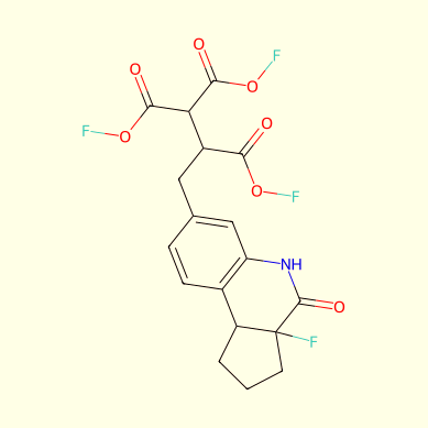 O=C(OF)C(Cc1ccc2c(c1)NC(=O)C1(F)CCCC21)C(C(=O)OF)C(=O)OF